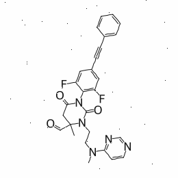 CN(CCN1C(=O)N(c2c(F)cc(C#Cc3ccccc3)cc2F)C(=O)CC1(C)C=O)c1ccncn1